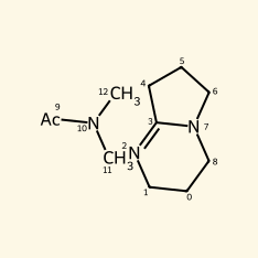 C1CN=C2CCCN2C1.CC(=O)N(C)C